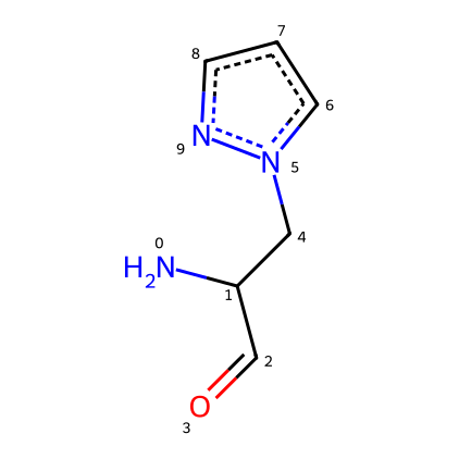 NC(C=O)Cn1cccn1